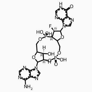 Nc1ncnc2c1ncn2C1OC2COP(=O)(O)[C@@H]3C(COP(=O)(O)O[C@@H]1[C@@H]2O)OC(n1cnc2c(=O)[nH]cnc21)[C@@H]3F